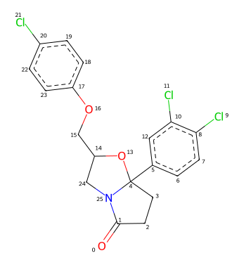 O=C1CCC2(c3ccc(Cl)c(Cl)c3)OC(COc3ccc(Cl)cc3)CN12